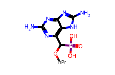 CCCOC(c1nc(N)nc2nc(N)[nH]c12)P(=O)(O)O